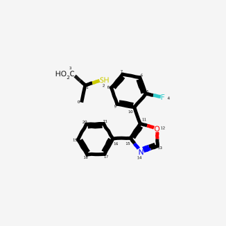 CC(S)C(=O)O.Fc1ccccc1-c1ocnc1-c1ccccc1